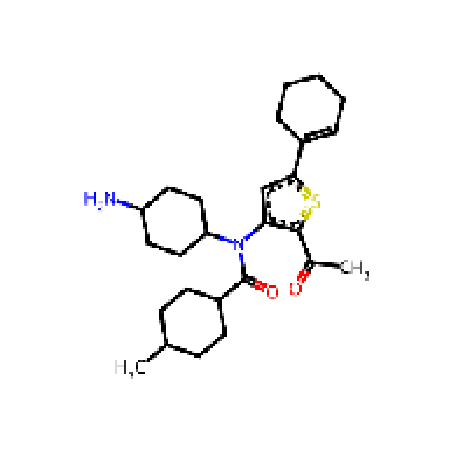 CC(=O)c1sc(C2=CCCCC2)cc1N(C(=O)C1CCC(C)CC1)C1CCC(N)CC1